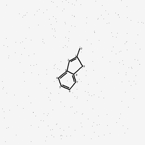 [CH2]C1=Cc2ccccc2C1